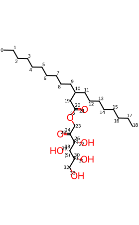 CCCCCCCCCCC(CCCCCCCC)CC(=O)OCC(=O)[C@H](O)[C@@H](O)[C@H](O)CO